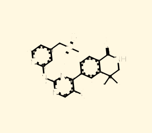 CC1(C)CNC(=O)c2ccc(-c3nc(Nc4cc(CS(C)(=O)=O)ccn4)ncc3Cl)cc21